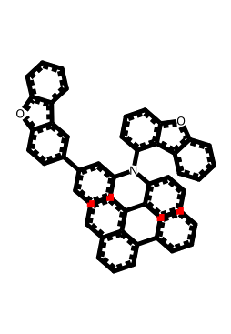 c1ccc(-c2cccc3cccc(-c4ccccc4N(c4cccc(-c5ccc6oc7ccccc7c6c5)c4)c4cccc5oc6ccccc6c45)c23)cc1